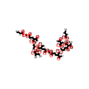 CCCC(=O)OCOC(=O)CCC(C(C)=O)C(=O)OCC(COC(=O)C(C)C(C)=O)OC(=O)C(CCC(=O)OCOC(=O)CCC(C(C)=O)C(=O)OC(CCC(=O)C(C(C)=O)C(=O)OCOC(=O)CCC)COC(=O)C(C)C(C)=O)C(C)=O